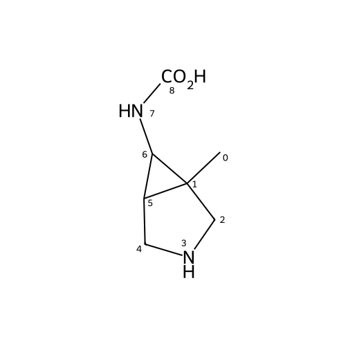 CC12CNCC1C2NC(=O)O